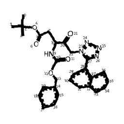 CC(C)(C)OC(=O)CC(NC(=O)OCc1ccccc1)C(=O)Cn1nnnc1-c1cccc2ccccc12